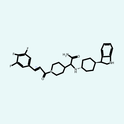 NC(=O)C(N[C@H]1CC[C@H](C2CNc3ccccc32)CC1)C1CCN(C(=O)/C=C/c2cc(F)c(F)c(F)c2)CC1